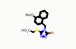 COc1ccc(Cn2c(Br)nnc2SCC(=O)O)c2ccccc12